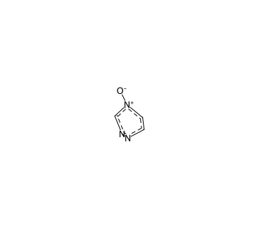 [O-][n+]1ccnnc1